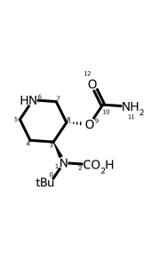 CC(C)(C)N(C(=O)O)[C@H]1CCNC[C@@H]1OC(N)=O